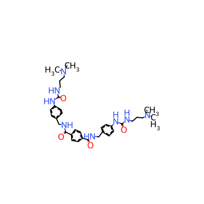 CN(C)CCCNC(=O)Nc1ccc(CNC(=O)c2ccc(C(=O)NCc3ccc(NC(=O)NCCCN(C)C)cc3)cc2)cc1